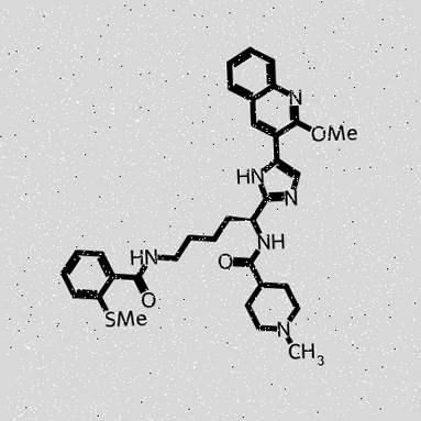 COc1nc2ccccc2cc1-c1cnc([C@H](CCCCNC(=O)c2ccccc2SC)NC(=O)C2CCN(C)CC2)[nH]1